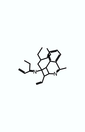 C=C/C(CC)=N/C1(CC(/C=C\C)CC)C(C=C)C2N=C(C)c3ccccc3C21